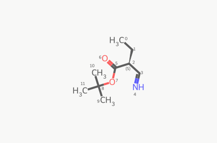 CC[C@@H](C=N)C(=O)OC(C)(C)C